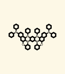 c1ccc(N(c2ccccc2)c2ccc3c4c5c(cc3c2)Oc2ccccc2B5c2cc3c(cc2N4c2ccccc2)N(c2ccccc2)c2c4c(cc5cc(N(c6ccccc6)c6ccccc6)ccc25)Oc2ccccc2B34)cc1